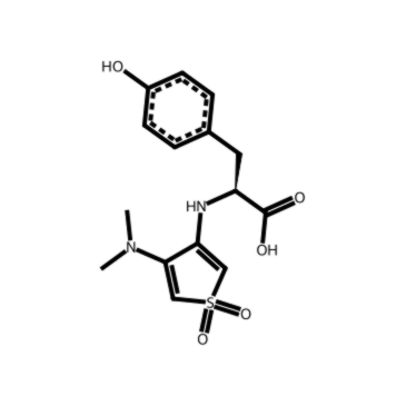 CN(C)C1=CS(=O)(=O)C=C1N[C@@H](Cc1ccc(O)cc1)C(=O)O